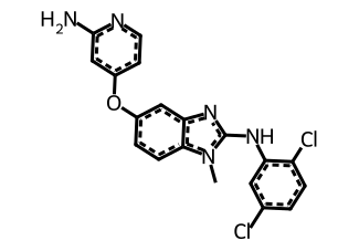 Cn1c(Nc2cc(Cl)ccc2Cl)nc2cc(Oc3ccnc(N)c3)ccc21